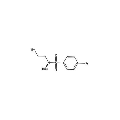 CC[C@H](C)N(CCC(C)C)S(=O)(=O)c1ccc(C(C)C)cc1